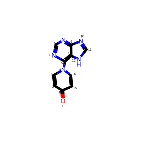 O=c1ccn(-c2ncnc3nc[nH]c23)cc1